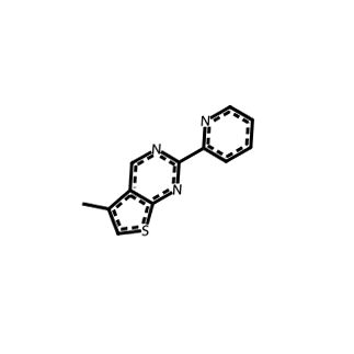 Cc1csc2nc(-c3ccccn3)ncc12